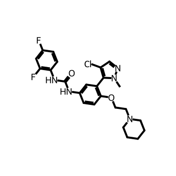 Cn1ncc(Cl)c1-c1cc(NC(=O)Nc2ccc(F)cc2F)ccc1OCCN1CCCCC1